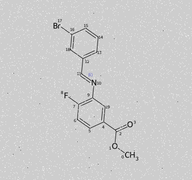 COC(=O)c1ccc(F)c(/N=C/c2cccc(Br)c2)c1